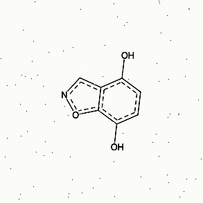 Oc1ccc(O)c2oncc12